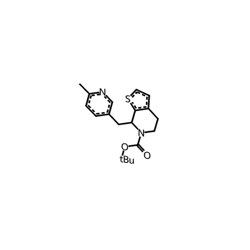 Cc1ccc(CC2c3sccc3CCN2C(=O)OC(C)(C)C)cn1